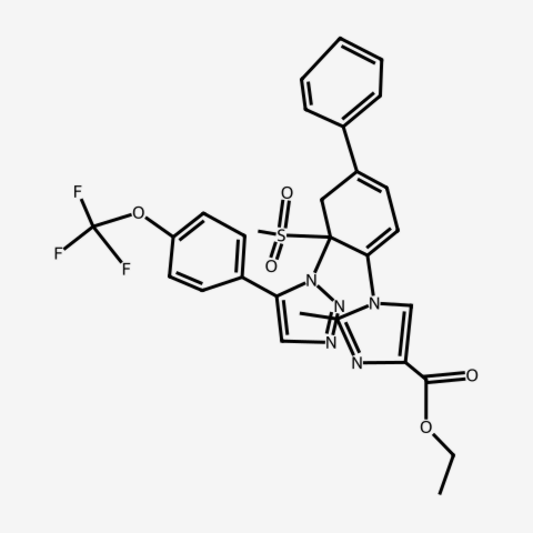 CCOC(=O)c1cn(C2=CC=C(c3ccccc3)CC2(n2nncc2-c2ccc(OC(F)(F)F)cc2)S(C)(=O)=O)c(C)n1